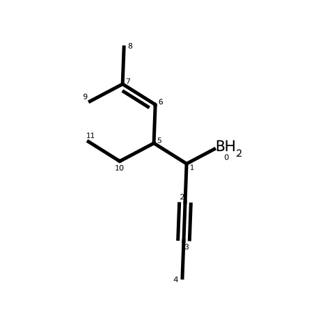 BC(C#CC)C(C=C(C)C)CC